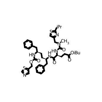 CC(C)COC(=O)CC[C@H](NC(=O)N(C)Cc1csc(C(C)C)n1)C(=O)N[C@H](CC[C@H](Cc1ccccc1)NC(=O)OCc1cncs1)Cc1ccccc1